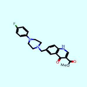 COC(=O)c1c[nH]c2ccc(CN3CCN(c4ccc(F)cc4)CC3)cc2c1=O